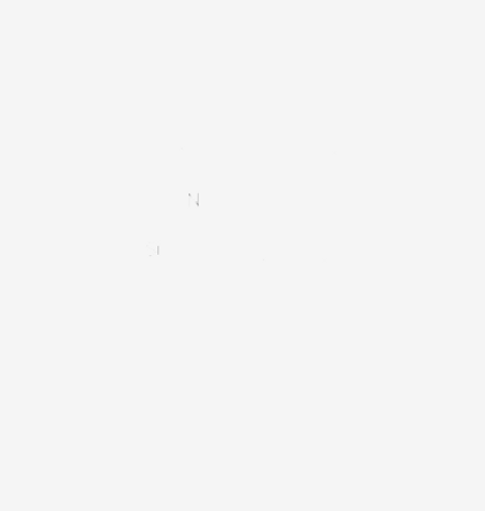 C=C[Si](C)(C)N(C)c1ccccc1